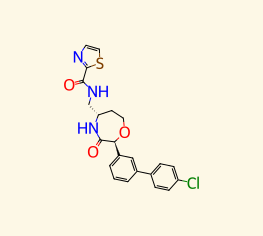 O=C(NC[C@@H]1CCO[C@@H](c2cccc(-c3ccc(Cl)cc3)c2)C(=O)N1)c1nccs1